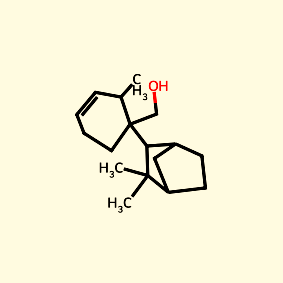 CC1C=CCCC1(CO)C1C2CCC(C2)C1(C)C